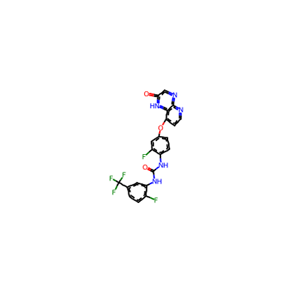 O=C(Nc1ccc(Oc2ccnc3ncc(=O)[nH]c23)cc1F)Nc1cc(C(F)(F)F)ccc1F